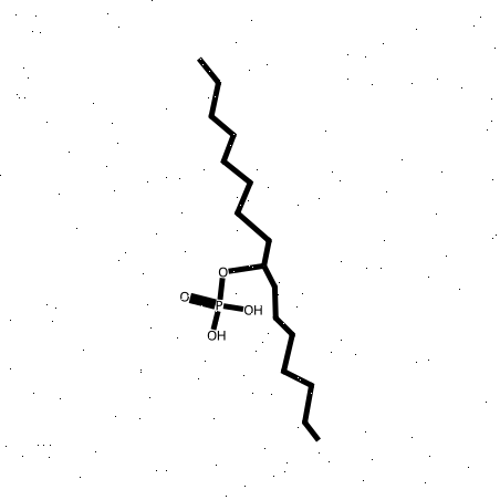 CCCCCCCCC(CCCCCCC)OP(=O)(O)O